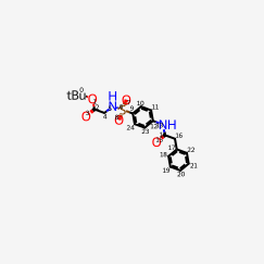 CC(C)(C)OC(=O)CNS(=O)(=O)c1ccc(NC(=O)Cc2ccccc2)cc1